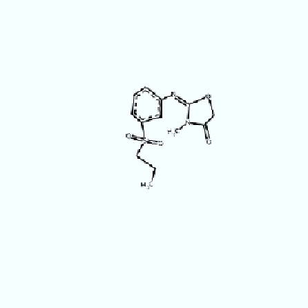 CCCS(=O)(=O)c1cccc(N=C2OCC(=O)N2C)c1